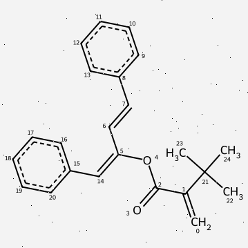 C=C(C(=O)OC(C=Cc1ccccc1)=Cc1ccccc1)C(C)(C)C